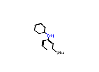 C/C=C\C(=C/CC(C)(C)C)NC1CCCCC1